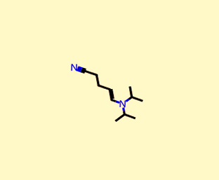 CC(C)N(C=CCCC#N)C(C)C